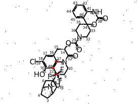 CN1C2CCC1CC(N1CCN(C(=O)[C@@H](Cc3cc(Cl)c(O)c(C(F)(F)F)c3)OC(=O)N3CCC4(CC3)OC(=O)Nc3ccccc34)CC1)C2